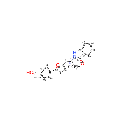 O=C(O)/C(=C\c1ccc(-c2ccc(CO)cc2)o1)NC(=O)c1ccccc1